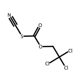 N#CSC(=O)OCC(Cl)(Cl)Cl